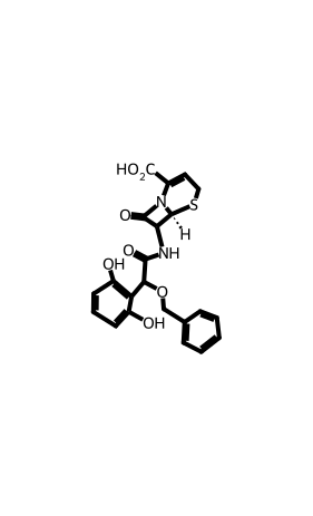 O=C(O)C1=CCS[C@H]2C(NC(=O)C(OCc3ccccc3)c3c(O)cccc3O)C(=O)N12